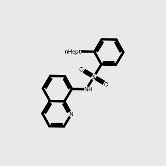 CCCCCCCc1ccccc1S(=O)(=O)Nc1cccc2cccnc12